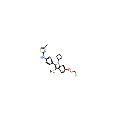 Cc1csc(Nc2ccc(-c3c(C#N)c4ccc(OCCF)cc4n3C3CCC3)cc2)n1